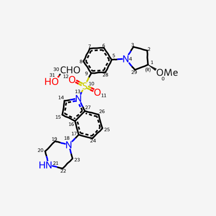 CO[C@@H]1CCN(c2cccc(S(=O)(=O)n3ccc4c(N5CCNCC5)cccc43)c2)C1.O=CO